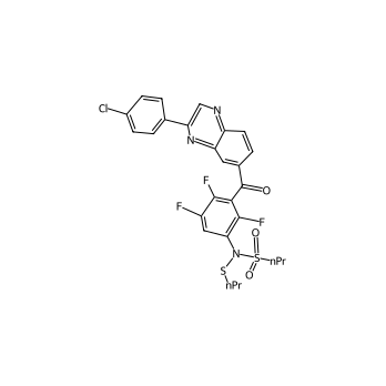 CCCSN(c1cc(F)c(F)c(C(=O)c2ccc3ncc(-c4ccc(Cl)cc4)nc3c2)c1F)S(=O)(=O)CCC